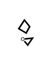 C1CCC1.C1CO1